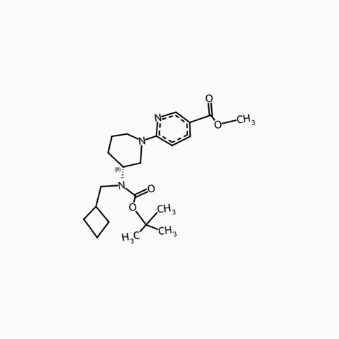 COC(=O)c1ccc(N2CCC[C@@H](N(CC3CCC3)C(=O)OC(C)(C)C)C2)nc1